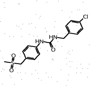 CS(=O)(=O)Cc1ccc(NC(=O)NCc2ccc(Cl)cc2)cc1